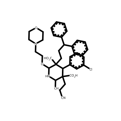 CC1NC(OCCN2CCOCC2)C(CCC(c2ccccc2)c2ccccc2)(C(=O)O)C(c2cccc(Cl)c2)C1(CCC#N)C(=O)O